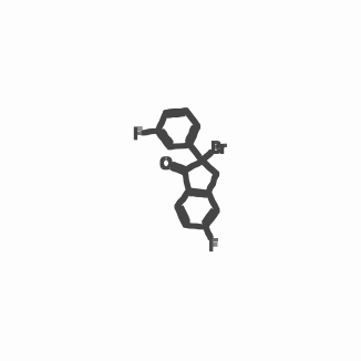 O=C1c2ccc(F)cc2CC1(Br)c1cccc(F)c1